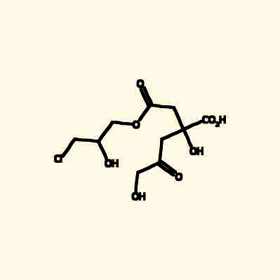 O=C(CO)CC(O)(CC(=O)OCC(O)CCl)C(=O)O